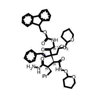 CC(C)C[C@@H](C(=O)NN)[C@H](C(=O)NOC1CCCCO1)C(/C=C/c1ccccc1)(CCOC1CCCCO1)C(=O)[C@@H](C)NC(=O)OCC1c2ccccc2-c2ccccc21